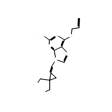 C=CCNc1nc(N)nc2c1ncn2/C=C1\CC1(CO)CO